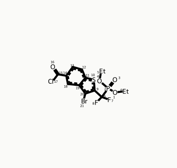 CCOP(=O)(OCC)C(F)(F)c1sc2ccc(C(=O)Cl)cc2c1Br